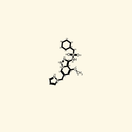 COc1cc(Cn2cccn2)cn2nnc(NS(=O)(=O)CC3CCCCC3)c12